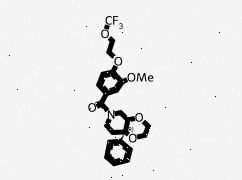 COc1cc(C(=O)N2CC[C@]3(c4ccccc4)OCCOC3C2)ccc1OCCOC(F)(F)F